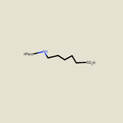 CCCCCNCCCCCS(=O)(=O)O